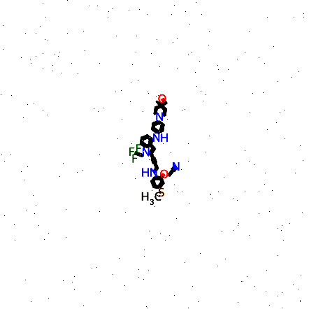 CSc1ccc(NCC#Cc2cc3c(Nc4ccc(N5CCC6(CC5)COC6)cc4)cccc3n2CC(F)(F)F)c(OCC#N)c1